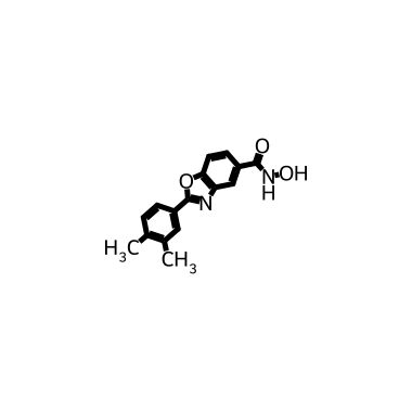 Cc1ccc(-c2nc3cc(C(=O)NO)ccc3o2)cc1C